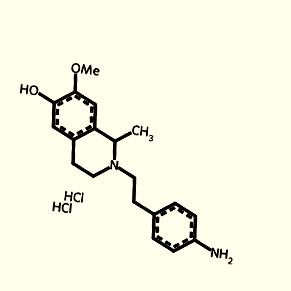 COc1cc2c(cc1O)CCN(CCc1ccc(N)cc1)C2C.Cl.Cl